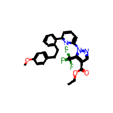 CCOC(=O)c1cnn(-c2cccc(-c3ccccc3CCc3ccc(OC)cc3)n2)c1C(F)(F)F